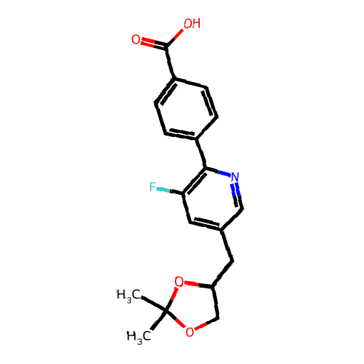 CC1(C)OCC(Cc2cnc(-c3ccc(C(=O)O)cc3)c(F)c2)O1